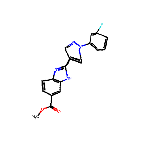 COC(=O)c1ccc2nc(-c3cnn(-c4cccc(F)c4)c3)[nH]c2c1